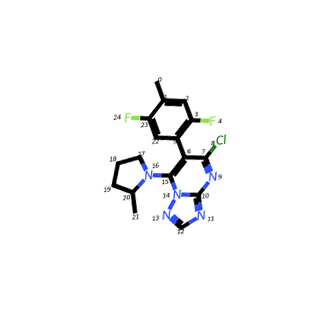 Cc1cc(F)c(-c2c(Cl)nc3ncnn3c2N2CCCC2C)cc1F